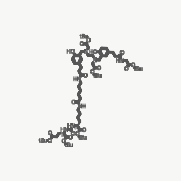 CC(C)(C)OC(=O)CC[C@H](NC(=O)N[C@@H](CCCCNC(=O)CCCCCNC(=O)CCc1ccc(O)c(CN(CCN(CC(=O)OC(C)(C)C)Cc2cc(CCC(=O)NCC(=O)OC(C)(C)C)ccc2O)CC(=O)OC(C)(C)C)c1)C(=O)OC(C)(C)C)C(=O)OC(C)(C)C